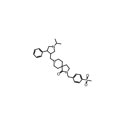 CC(C)N1CC(CN2CCC3(CC2)CCN(Cc2ccc(S(C)(=O)=O)cc2)C3=O)C(c2ccccc2)C1